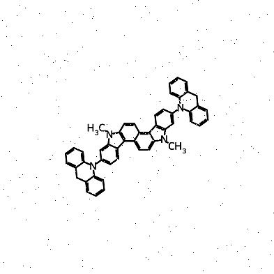 Cn1c2cc(N3c4ccccc4Cc4ccccc43)ccc2c2c3ccc4c(c3ccc21)c1ccc(N2c3ccccc3Cc3ccccc32)cc1n4C